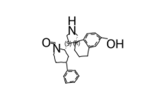 O=CN1CCC(c2ccccc2)CC1[C@@H]1CNC[C@]12CCCc1cc(CO)ccc12